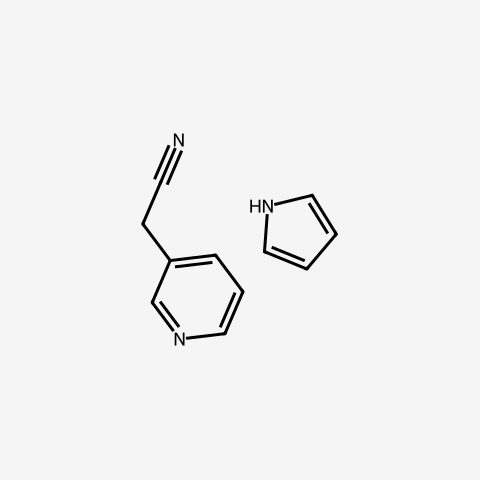 N#CCc1cccnc1.c1cc[nH]c1